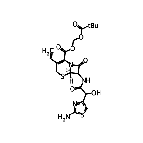 C=CC1=C(C(=O)OCOC(=O)C(C)(C)C)N2C(=O)C(NC(=O)C(O)c3csc(N)n3)[C@@H]2SC1